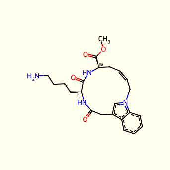 COC(=O)[C@H]1CC=CCn2cc(c3ccccc32)CC(=O)N[C@@H](CCCCN)C(=O)N1